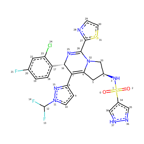 O=S(=O)(N[C@H]1CC2=C(c3ccn(C(F)F)n3)[C@H](c3ccc(F)cc3Cl)N=C(c3nccs3)N2C1)c1cn[nH]c1